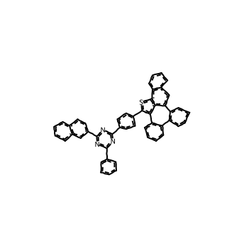 c1ccc(-c2nc(-c3ccc(-c4sc5c6c(cc7ccccc75)-c5ccccc5-c5ccccc5-c46)cc3)nc(-c3ccc4ccccc4c3)n2)cc1